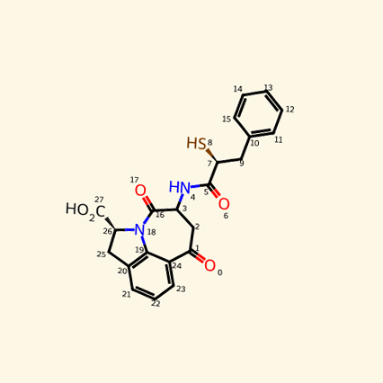 O=C1CC(NC(=O)[C@@H](S)Cc2ccccc2)C(=O)N2c3c(cccc31)C[C@H]2C(=O)O